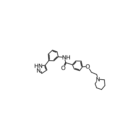 O=C(Nc1cccc(-c2ccn[nH]2)c1)c1ccc(OCCN2CCCCC2)cc1